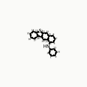 c1ccc(Nc2cccc3cc4sc5ccccc5c4cc23)cc1